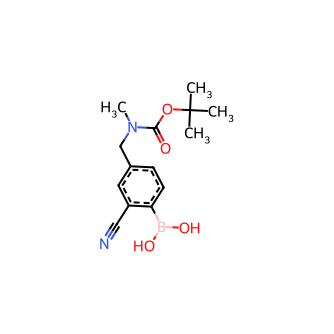 CN(Cc1ccc(B(O)O)c(C#N)c1)C(=O)OC(C)(C)C